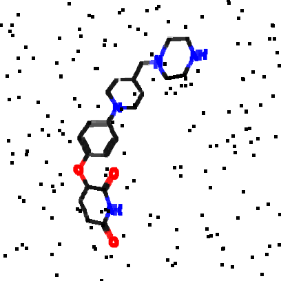 O=C1CCC(Oc2ccc(N3CCC(CN4CCNCC4)CC3)cc2)C(=O)N1